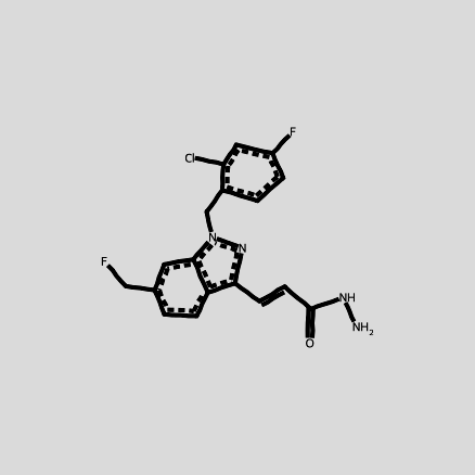 NNC(=O)C=Cc1nn(Cc2ccc(F)cc2Cl)c2cc(CF)ccc12